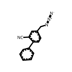 N#Cc1cc(CN=[N+]=[N-])ccc1-c1ccccc1